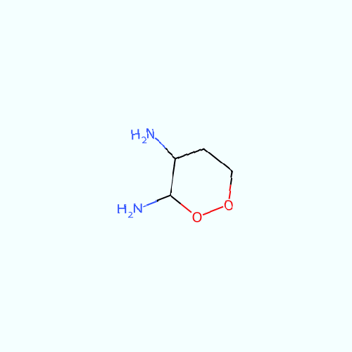 NC1CCOOC1N